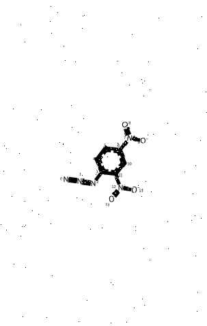 [N-]=[N+]=Nc1ccc([N+](=O)[O-])cc1[N+](=O)[O-]